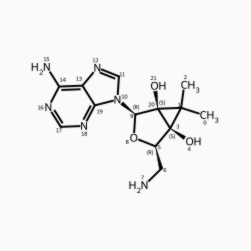 CC1(C)[C@]2(O)[C@@H](CN)O[C@@H](n3cnc4c(N)ncnc43)[C@]12O